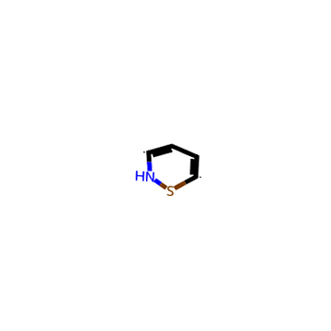 [C]1=CC=[C]SN1